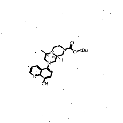 C[C@@H]1CN(c2ccc(C#N)c3ncccc23)C[C@@H]2CN(C(=O)OC(C)(C)C)CCN21